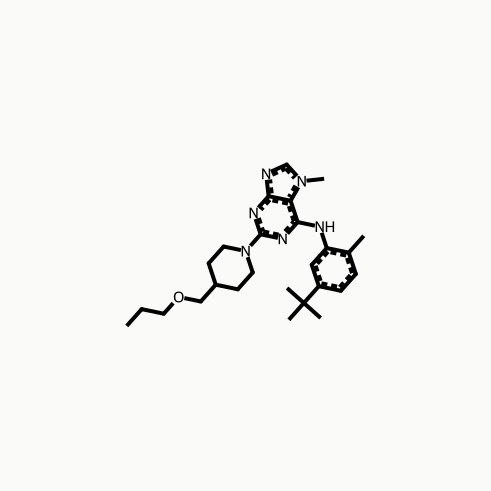 CCCOCC1CCN(c2nc(Nc3cc(C(C)(C)C)ccc3C)c3c(ncn3C)n2)CC1